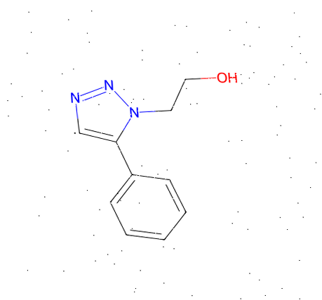 OCCn1nn[c]c1-c1ccccc1